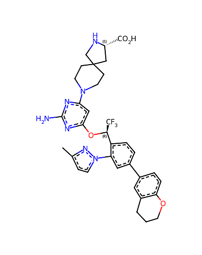 Cc1ccn(-c2cc(-c3ccc4c(c3)CCCO4)ccc2[C@@H](Oc2cc(N3CCC4(CC3)CN[C@H](C(=O)O)C4)nc(N)n2)C(F)(F)F)n1